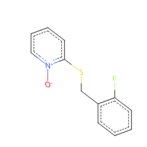 [O-][n+]1ccccc1SCc1ccccc1F